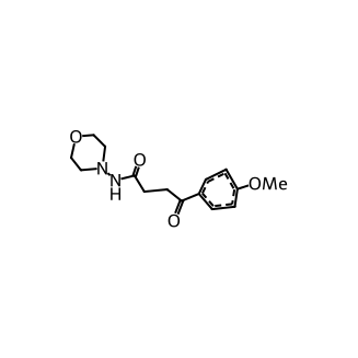 COc1ccc(C(=O)CCC(=O)NN2CCOCC2)cc1